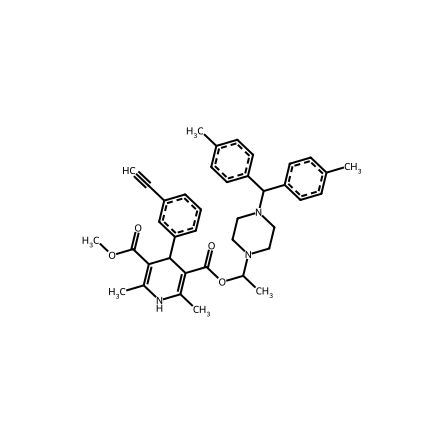 C#Cc1cccc(C2C(C(=O)OC)=C(C)NC(C)=C2C(=O)OC(C)N2CCN(C(c3ccc(C)cc3)c3ccc(C)cc3)CC2)c1